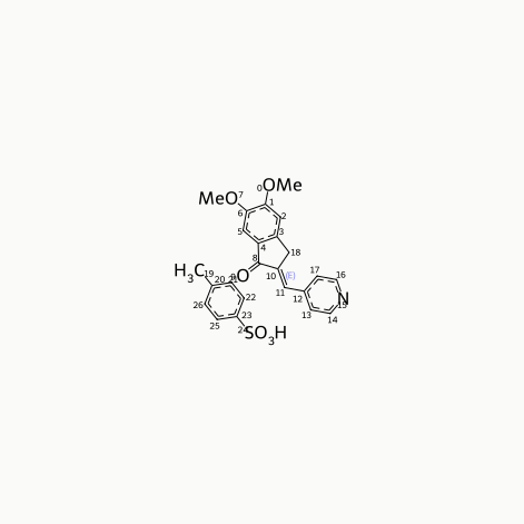 COc1cc2c(cc1OC)C(=O)/C(=C/c1ccncc1)C2.Cc1ccc(S(=O)(=O)O)cc1